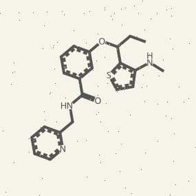 CCC(Oc1cccc(C(=O)NCc2ccccn2)c1)c1sccc1NC